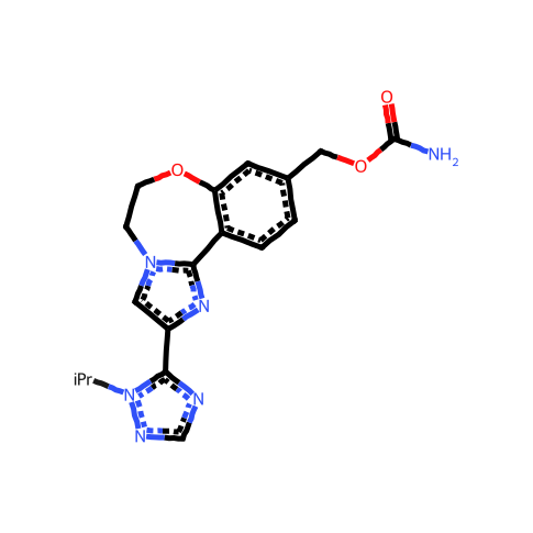 CC(C)n1ncnc1-c1cn2c(n1)-c1ccc(COC(N)=O)cc1OCC2